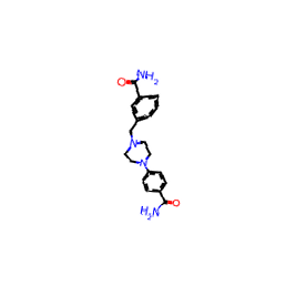 NC(=O)c1ccc(N2CCN(Cc3cccc(C(N)=O)c3)CC2)cc1